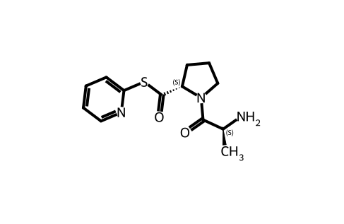 C[C@H](N)C(=O)N1CCC[C@H]1C(=O)Sc1ccccn1